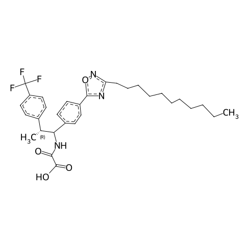 CCCCCCCCCCCc1noc(-c2ccc(C(NC(=O)C(=O)O)[C@H](C)c3ccc(C(F)(F)F)cc3)cc2)n1